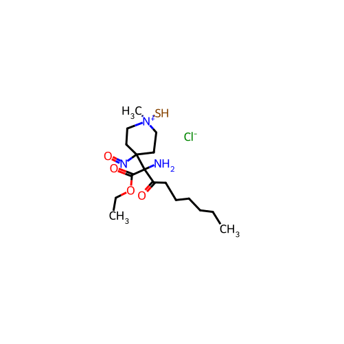 CCCCCCC(=O)C(N)(C(=O)OCC)C1(N=O)CC[N+](C)(S)CC1.[Cl-]